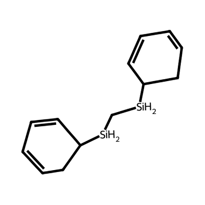 C1=CCC([SiH2]C[SiH2]C2C=CC=CC2)C=C1